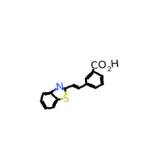 O=C(O)c1cccc(C=Cc2nc3ccccc3s2)c1